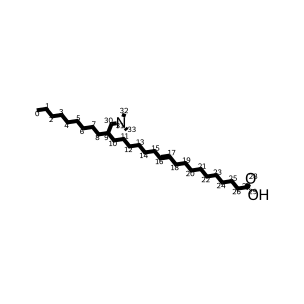 CCCCCCCCCC(CCCCCCC=CCCCCCCCCCC(=O)O)CN(C)C